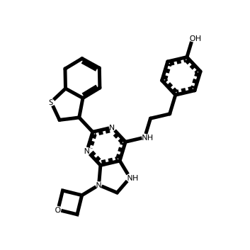 Oc1ccc(CCNc2nc(C3CSC4CC=CC=C43)nc3c2NCN3C2COC2)cc1